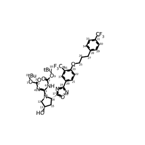 CC(C)(C)OC(=O)/N=C(\NC(=O)OC(C)(C)C)N1C[C@H](O)C[C@H]1c1nc(-c2ccc(OCCCc3ccc(C(F)(F)F)cc3)c(C(F)(F)F)c2)no1